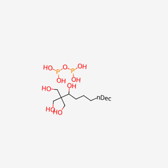 CCCCCCCCCCCCCC(O)C(CO)(CO)CO.OP(O)OP(O)O